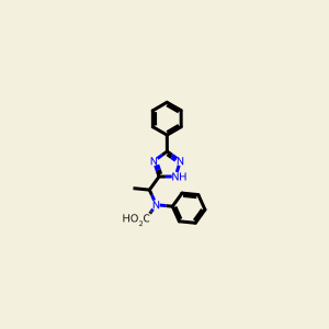 CC(c1nc(-c2ccccc2)n[nH]1)N(C(=O)O)c1ccccc1